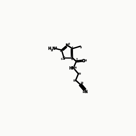 Cc1nc(N)sc1C(=O)NCCC#N